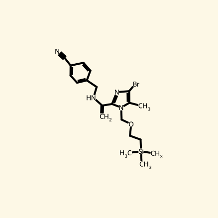 C=C(NCc1ccc(C#N)cc1)c1nc(Br)c(C)n1COCC[Si](C)(C)C